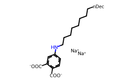 CCCCCCCCCCCCCCCCCCNc1ccc(C(=O)[O-])c(C(=O)[O-])c1.[Na+].[Na+]